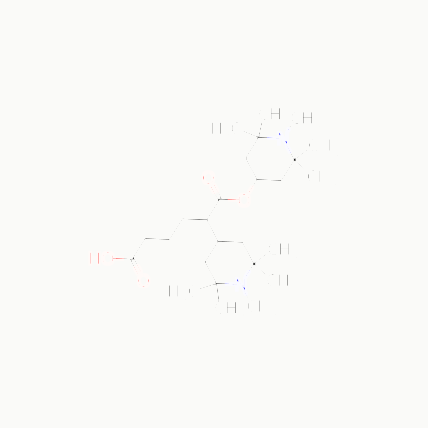 CN1C(C)(C)CC(OC(=O)C(CCCC(=O)O)C2CC(C)(C)N(C)C(C)(C)C2)CC1(C)C